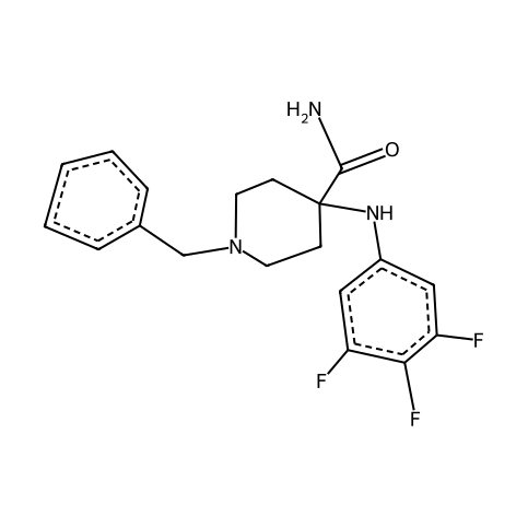 NC(=O)C1(Nc2cc(F)c(F)c(F)c2)CCN(Cc2ccccc2)CC1